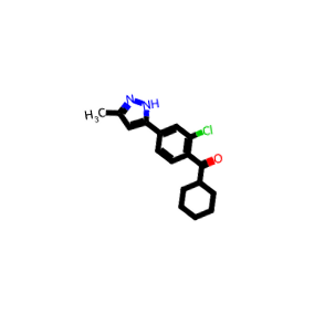 Cc1cc(-c2ccc(C(=O)C3CCCCC3)c(Cl)c2)[nH]n1